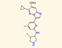 COc1cc2ncc(-c3cc(C)cc(NC4CNCC4F)n3)n2nc1C1CC1